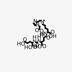 CN(CCCCC(NC(=O)CCC(NC(=O)NC(CCC(=O)O)C(=O)O)C(=O)O)C(=O)O)Cc1nccn1CC(=O)O